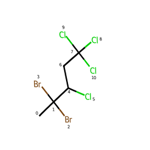 CC(Br)(Br)C(Cl)CC(Cl)(Cl)Cl